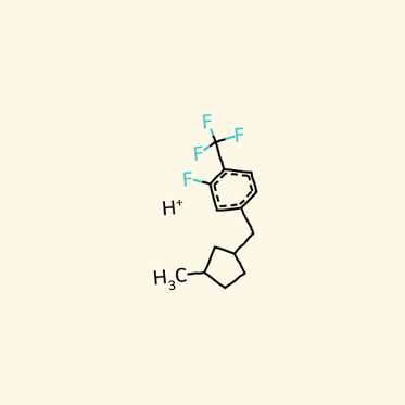 CC1CCC(Cc2ccc(C(F)(F)F)c(F)c2)C1.[H+]